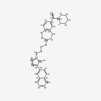 Cn1c(SCCCN2CCc3ccc(C(=O)N4CCCCC4)cc3CC2)nnc1-c1ccc2ncccc2c1